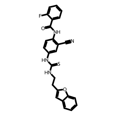 N#Cc1cc(NC(=S)NCCc2cc3ccccc3o2)ccc1NC(=O)c1ccccc1F